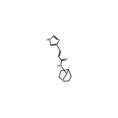 O=C(C=Cc1c[nH]cn1)NC1CN2CCC1CC2